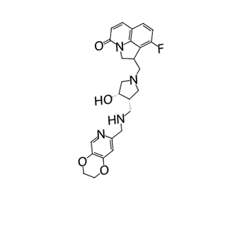 O=c1ccc2ccc(F)c3c2n1CC3CN1C[C@H](CNCc2cc3c(cn2)OCCO3)[C@H](O)C1